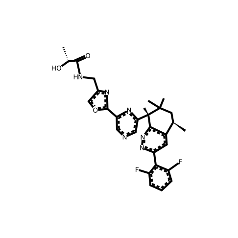 C[C@@H]1CC(C)(C)[C@@](C)(c2cncc(-c3nc(CNC(=O)[C@@H](C)O)co3)n2)c2nnc(-c3c(F)cccc3F)cc21